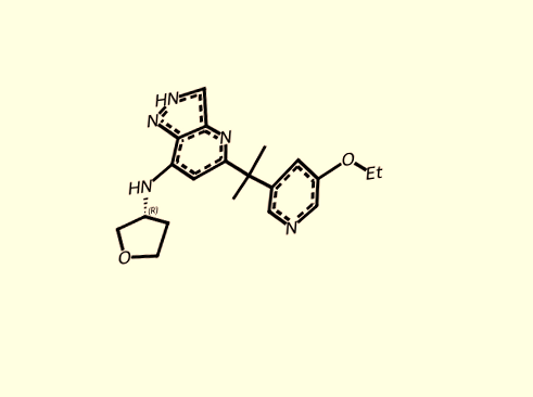 CCOc1cncc(C(C)(C)c2cc(N[C@@H]3CCOC3)c3n[nH]cc3n2)c1